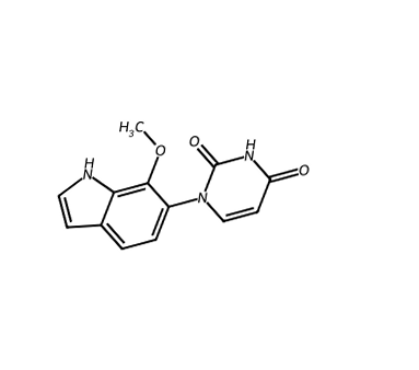 COc1c(-n2ccc(=O)[nH]c2=O)ccc2cc[nH]c12